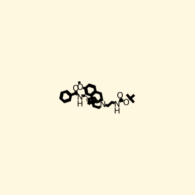 COc1ccc2c(c1)C13CCN(CCNC(=O)OC(C)(C)C)C(C2)C12CC=CC3[C@H](CNC(=O)c1ccccc1)C2